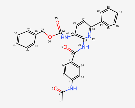 CC(=O)Nc1ccc(C(=O)Nc2nc(-c3ccccc3)ccc2NC(=O)OCc2ccccc2)cc1